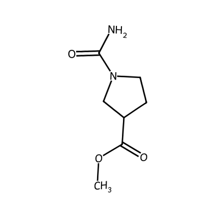 COC(=O)C1CCN(C(N)=O)C1